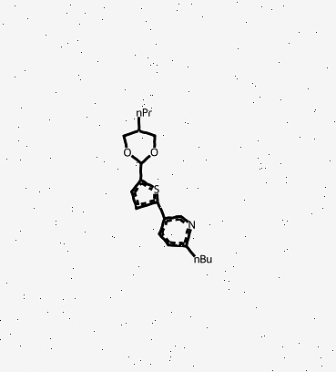 CCCCc1ccc(-c2ccc(C3OCC(CCC)CO3)s2)cn1